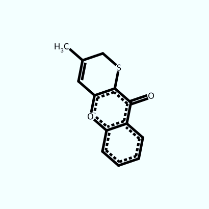 CC1=Cc2oc3ccccc3c(=O)c2SC1